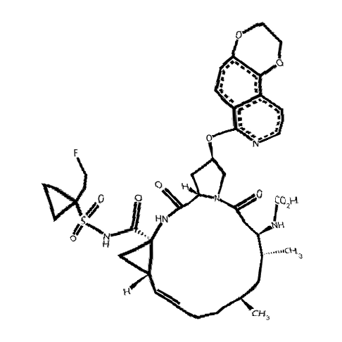 C[C@H]1CCC=C[C@@H]2C[C@@]2(C(=O)NS(=O)(=O)C2(CF)CC2)NC(=O)[C@@H]2C[C@@H](Oc3nccc4c5c(ccc34)OCCO5)CN2C(=O)[C@@H](NC(=O)O)[C@H](C)C1